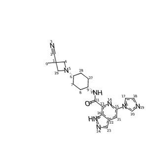 CC1(C#N)CN([C@H]2CC[C@@H](NC(=O)c3nc(-n4ccnc4)cc4cn[nH]c34)CC2)C1